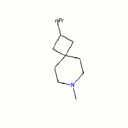 CCCC1CC2(CCN(C)CC2)C1